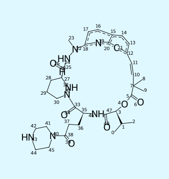 CC(C)[C@@H]1OC(=O)C(C)(C)/C=C/c2ccc3ccc(nc3c2)N(C)NC(=O)[C@@H]2CCCN(N2)C(=O)[C@H](CCC(=O)N2CCNCC2)NC1=O